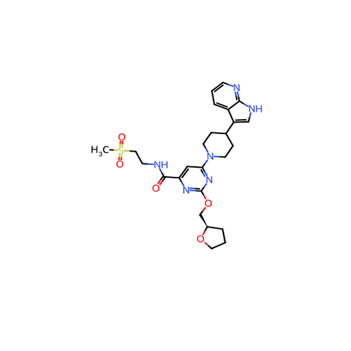 CS(=O)(=O)CCNC(=O)c1cc(N2CCC(c3c[nH]c4ncccc34)CC2)nc(OC[C@H]2CCCO2)n1